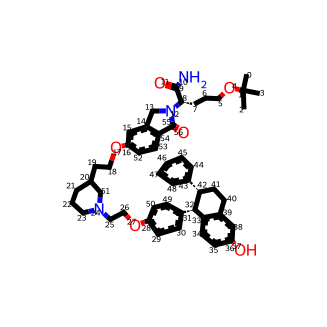 CC(C)(C)OCCC[C@@H](C(N)=O)N1Cc2cc(OCCC3CCCN(CCOc4ccc([C@H]5c6ccc(O)cc6CC[C@H]5c5ccccc5)cc4)C3)ccc2C1=O